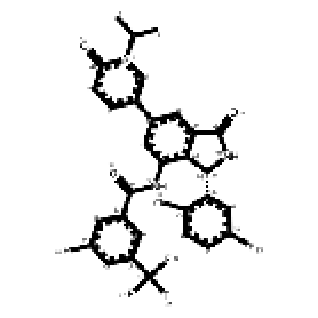 CC(C)n1cc(-c2cc(NC(=O)c3cc(F)cc(C(F)(F)F)c3)c3c(c2)C(=O)N[C@@H]3c2cc(F)ccc2Cl)ccc1=O